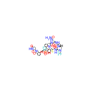 NC(=O)CC[C@H](NC(=O)[C@@H]1CC[C@@H]2CCN(CC(F)(F)F)C[C@H](NC(=O)c3cc4cc(C(F)(F)P(=O)(O)O)ccc4s3)C(=O)N21)C(=O)N[C@@H](Cc1ccc(F)cc1)C(=O)N1CCC(CCC#Cc2cccc3c2CN(C2CCC(=O)NC2=O)C3=O)CC1